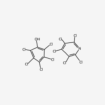 Clc1nc(Cl)c(Cl)c(Cl)c1Cl.Oc1c(Cl)c(Cl)c(Cl)c(Cl)c1Cl